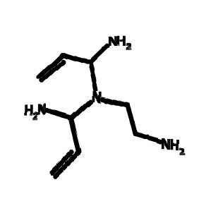 C=CC(N)N(CCN)C(N)C=C